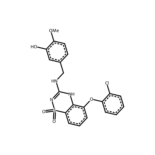 COc1ccc(CNC2=NS(=O)(=O)c3cccc(Oc4ccccc4Cl)c3N2)cc1O